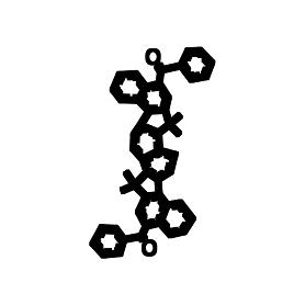 CC1(C)c2cc(C(=O)c3ccccc3)c3ccccc3c2-c2ccc3c4c(ccc3c21)-c1c(cc(C(=O)c2ccccc2)c2ccccc12)C4(C)C